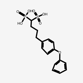 O=P(O)(O)C(CCCc1ccc(Oc2ccccc2)cc1)S(=O)(=O)O